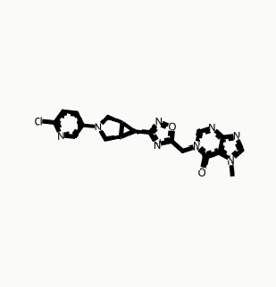 Cn1cnc2ncn(Cc3nc(C4C5CN(c6ccc(Cl)nc6)CC54)no3)c(=O)c21